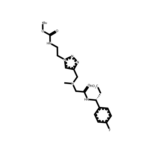 CN(CC(=O)N[C@H](CC(=O)O)c1ccc(F)cc1)Cc1cn(CCNC(=O)OC(C)(C)C)nn1